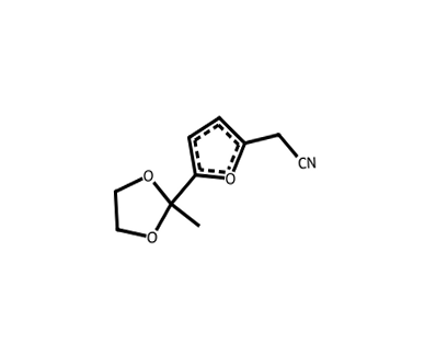 CC1(c2ccc(CC#N)o2)OCCO1